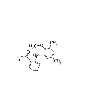 COc1c(C)cc(C)cc1Pc1ccccc1C(C)=O